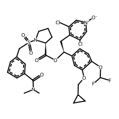 CN(C)C(=O)c1cccc(CS(=O)(=O)N2CCC[C@H]2C(=O)O[C@@H](Cc2c(Cl)c[n+]([O-])cc2Cl)c2ccc(OC(F)F)c(OCC3CC3)c2)c1